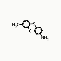 Cc1ccc(Sc2ccc(N)cc2)c(C)c1